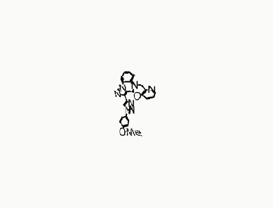 COc1ccc(-n2cc(-c3ncn4c3c(=O)n(Cc3ccccn3)c3ccccc34)nn2)cc1